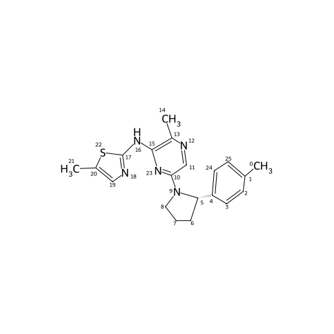 Cc1ccc([C@@H]2CCCN2c2cnc(C)c(Nc3ncc(C)s3)n2)cc1